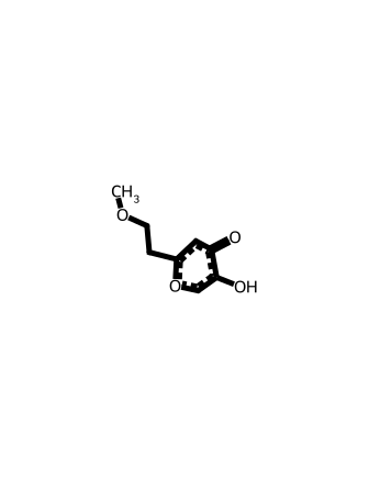 COCCc1cc(=O)c(O)co1